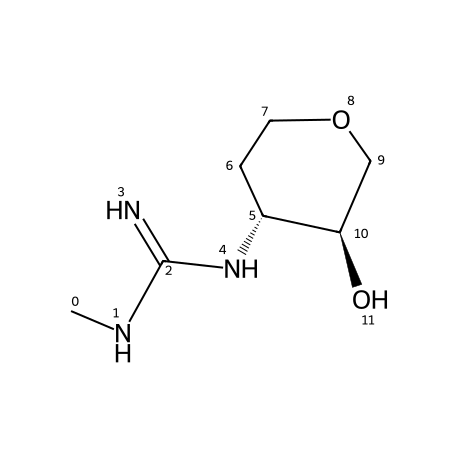 CNC(=N)N[C@@H]1CCOC[C@H]1O